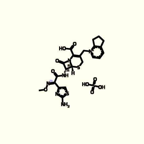 CO/N=C(/C(=O)N[C@@H]1C(=O)N2C(C(=O)O)=C(C[n+]3cccc4c3CCC4)CS[C@H]12)c1csc(N)n1.O=S(=O)(O)O